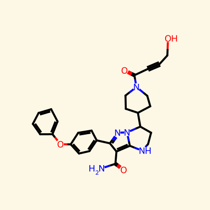 NC(=O)c1c(-c2ccc(Oc3ccccc3)cc2)nn2c1NCCC2C1CCN(C(=O)C#CCO)CC1